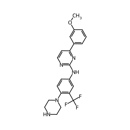 COc1cccc(-c2ccnc(Nc3ccc(N4CCNCC4)c(C(F)(F)F)c3)n2)c1